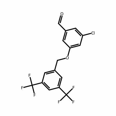 O=Cc1cc(Cl)cc(OCc2cc(C(F)(F)F)cc(C(F)(F)F)c2)c1